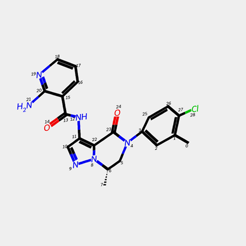 Cc1cc(N2C[C@H](C)n3ncc(NC(=O)c4cccnc4N)c3C2=O)ccc1Cl